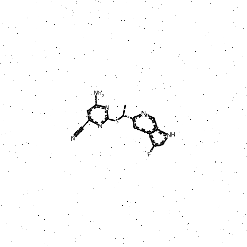 CC(Sc1nc(N)cc(C#N)n1)c1cc2c(F)c[nH]c2cn1